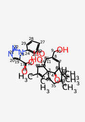 CC1=C[C@]23C(=O)[C@@H](C=C(CO)[C@@H](O)[C@]2(O)[C@H]1OC(=O)c1cnnn1-c1ccccc1)C(C)(C)[C@@H](C)C[C@H]3C